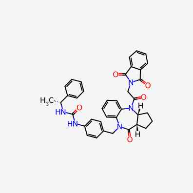 C[C@@H](NC(=O)Nc1ccc(CN2C(=O)[C@H]3CCC[C@H]3N(C(=O)CN3C(=O)c4ccccc4C3=O)c3ccccc32)cc1)c1ccccc1